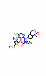 CNC(=O)Oc1sc(C(C)(C)C)cc1Nc1nc(Nc2ccc3c(c2)CCOC(=O)N3C)ncc1Cl